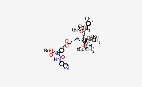 CC(C)(C)OC(=O)NCC(C(=O)Nc1ccc2cnccc2c1)c1ccc(COC(=O)CCC/C=C\C[C@@H]2[C@@H](/C=C/C(COc3cccc(C(F)(F)F)c3)O[Si](C)(C)C(C)(C)C)[C@H](O[Si](C)(C)C(C)(C)C)C[C@@H]2O[Si](C)(C)C(C)(C)C)cc1